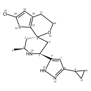 C[C@H]1C[C@@]2(C[C@@H](c3cc(C4CC4)n[nH]3)N1)OCCc1cc(Cl)sc12